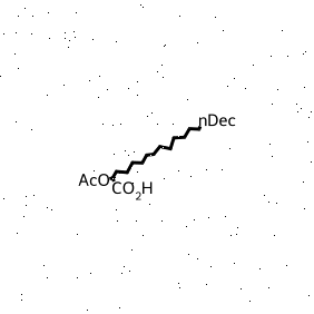 CCCCCCCCCCCCCCCCCCCCCCC(OC(C)=O)C(=O)O